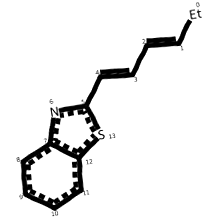 [CH2]CC=CC=Cc1nc2ccccc2s1